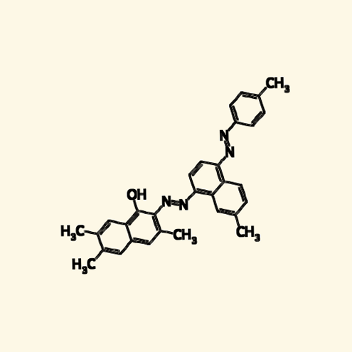 Cc1ccc(N=Nc2ccc(N=Nc3c(C)cc4cc(C)c(C)cc4c3O)c3cc(C)ccc23)cc1